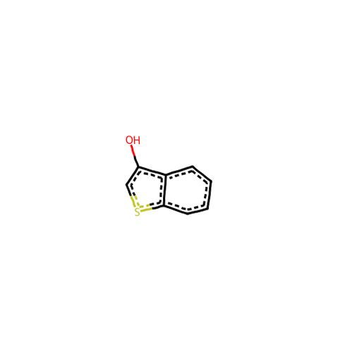 Oc1csc2ccccc12